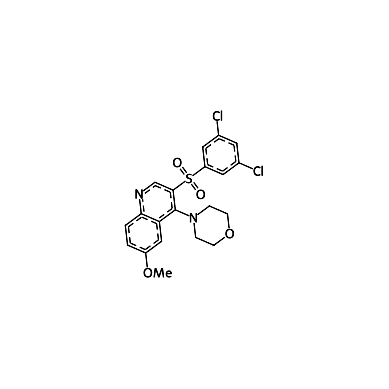 COc1ccc2ncc(S(=O)(=O)c3cc(Cl)cc(Cl)c3)c(N3CCOCC3)c2c1